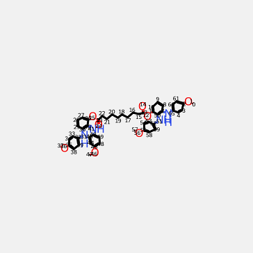 COc1ccc(Nc2cccc(OC(=O)CCCCCCCCC(=O)Oc3cccc(Nc4ccc(OC)cc4)c3Nc3ccc(OC)cc3)c2Nc2ccc(OC)cc2)cc1